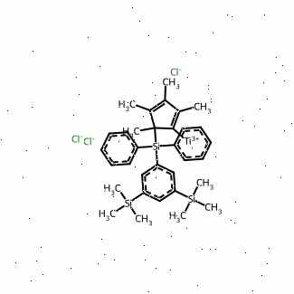 CC1=C(C)C(C)([Si](c2ccccc2)(c2ccccc2)c2cc([Si](C)(C)C)cc([Si](C)(C)C)c2)[C]([Ti+3])=C1C.[Cl-].[Cl-].[Cl-]